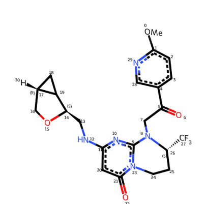 COc1ccc(C(=O)CN2c3nc(NC[C@H]4OC[C@@H]5CC54)cc(=O)n3CC[C@H]2C(F)(F)F)cn1